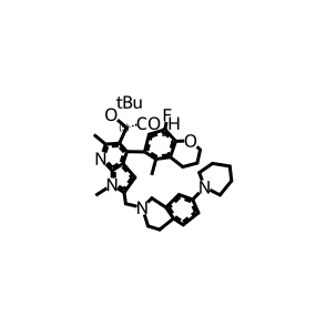 Cc1nc2c(cc(CN3CCc4ccc(N5CCCCC5)cc4C3)n2C)c(-c2cc(F)c3c(c2C)CCCO3)c1[C@H](OC(C)(C)C)C(=O)O